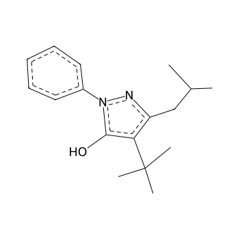 CC(C)Cc1nn(-c2ccccc2)c(O)c1C(C)(C)C